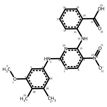 COc1cc(Nc2ncc([N+](=O)[O-])c(Nc3ccccc3C(=O)O)n2)cc(C)c1C